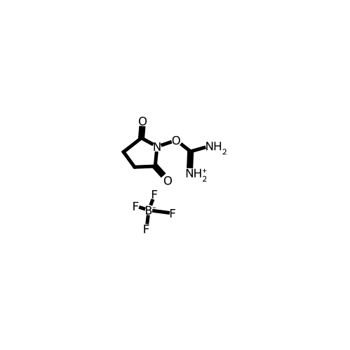 F[B-](F)(F)F.NC(=[NH2+])ON1C(=O)CCC1=O